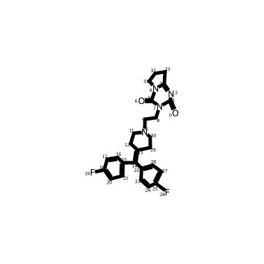 O=c1nc2n(c(=O)n1CCN1CCC(=C(c3ccc(F)cc3)c3ccc(F)cc3)CC1)CCC2